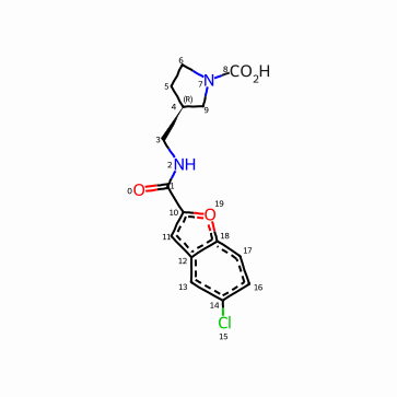 O=C(NC[C@H]1CCN(C(=O)O)C1)c1cc2cc(Cl)ccc2o1